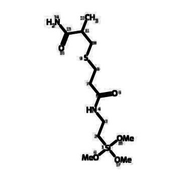 CO[Si](CCNC(=O)CCSCC(C)C(N)=O)(OC)OC